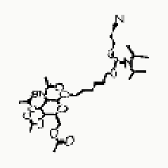 CC(=O)NC1C(OCCCCCCOP(OCCC#N)N(C(C)C)C(C)C)OC(COC(C)=O)C(OC(C)=O)C1OC(C)=O